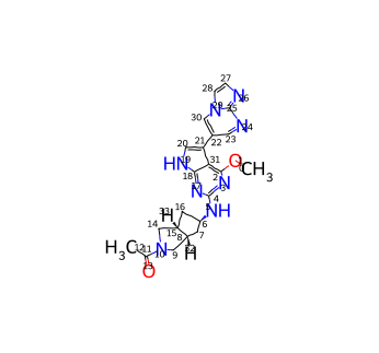 COc1nc(N[C@H]2C[C@@H]3CN(C(C)=O)C[C@@H]3C2)nc2[nH]cc(-c3cnc4nccn4c3)c12